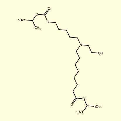 CCCCCCCCCCC(C)OC(=O)OCCCCCN(CCO)CCCCCCCC(=O)OC(CCCCCCCC)CCCCCCCC